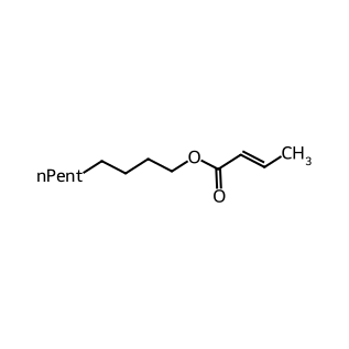 C/C=C/C(=O)OCCCCCCCCC